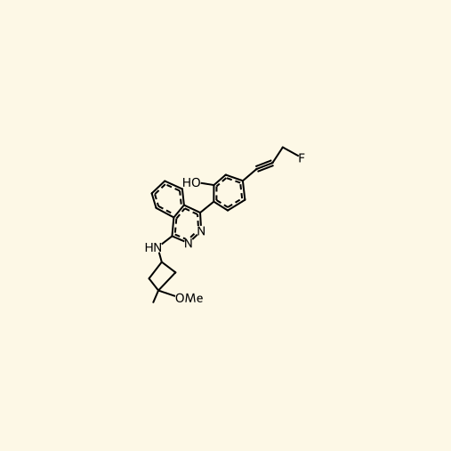 COC1(C)CC(Nc2nnc(-c3ccc(C#CCF)cc3O)c3ccccc23)C1